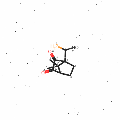 CC1(C)C2CCC1(C(P)N=O)C(=O)C2=O